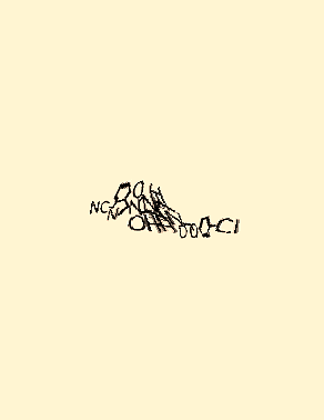 N#Cc1ncc(N2C(=O)[C@@H]3[C@@H]4C[C@@H](CN4C(=O)COc4ccc(Cl)cc4)N3C2=O)c2ccccc12